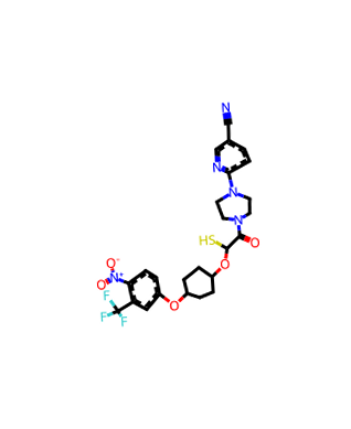 N#Cc1ccc(N2CCN(C(=O)C(S)OC3CCC(Oc4ccc([N+](=O)[O-])c(C(F)(F)F)c4)CC3)CC2)nc1